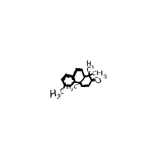 Cc1ccc2c(c1)C1(C)C=CC(=O)C(C)(C)C1CC2